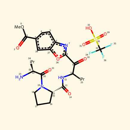 COC(=O)c1ccc2nc(C(=O)C(NC(=O)[C@@H]3CCCN3C(=O)[C@@H](N)C(C)C)C(C)C)oc2c1.O=S(=O)(O)C(F)(F)F